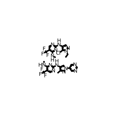 CCn1ncc(Nc2ncc(C(F)(F)F)c(NC)n2)c1Cl.CNc1nc(Nc2cn(-c3cncnc3)nc2C)ncc1C(F)(F)F